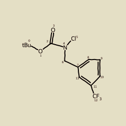 CC(C)(C)OC(=O)N(Cl)Cc1cccc(C(F)(F)F)c1